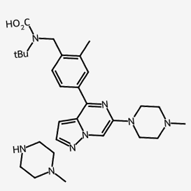 CN1CCNCC1.Cc1cc(-c2nc(N3CCN(C)CC3)cn3nccc23)ccc1CN(C(=O)O)C(C)(C)C